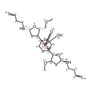 COC[C@H]1O[C@@H](BCCC=S)CC1C12CCC([C@H]3O[C@@H](BCCC=S)CC3OC)(CC1)CSP(=O)(O)O2